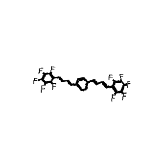 Fc1c(F)c(F)c(/C=C/C=C/c2ccc(/C=C/C=C/c3c(F)c(F)c(F)c(F)c3F)cc2)c(F)c1F